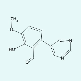 COc1ccc(-c2cncnc2)c(C=O)c1O